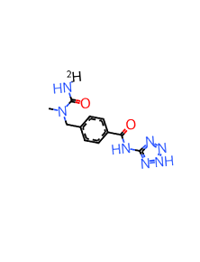 [2H]NC(=O)N(C)Cc1ccc(C(=O)Nc2nn[nH]n2)cc1